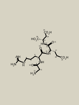 N=C(N)NCCC[C@H](NC(=O)CN)C(=O)N[C@@H](CCC(=O)O)C(=O)N[C@@H](CC(=O)O)C(=O)O